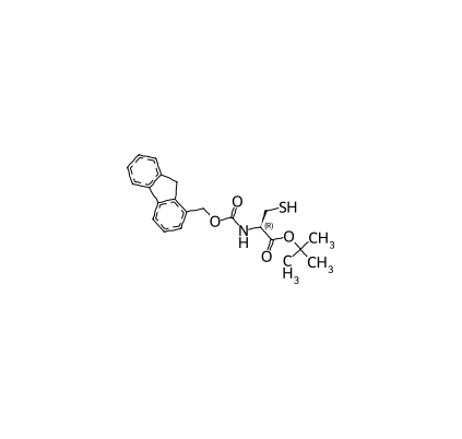 CC(C)(C)OC(=O)[C@H](CS)NC(=O)OCc1cccc2c1Cc1ccccc1-2